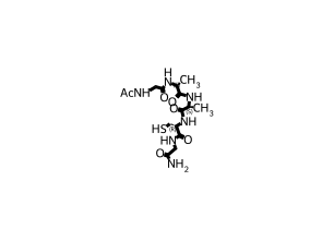 CC(=O)NCC(=O)N[C@@H](C)C(=O)N[C@@H](C)C(=O)N[C@@H](CS)C(=O)NCC(N)=O